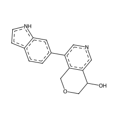 OC1COCc2c(-c3ccc4cc[nH]c4c3)cncc21